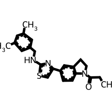 CCC(=O)N1CCc2cc(-c3csc(NCc4cc(C)cc(C)c4)n3)ccc21